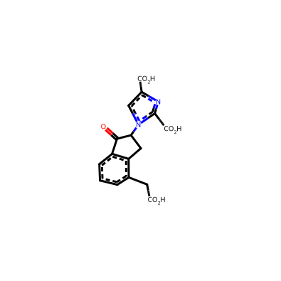 O=C(O)Cc1cccc2c1CC(n1cc(C(=O)O)nc1C(=O)O)C2=O